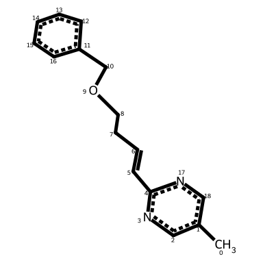 Cc1cnc(/C=C/CCOCc2ccccc2)nc1